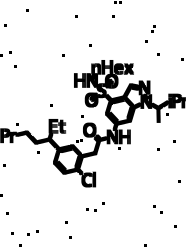 CCCCCCNS(=O)(=O)c1cc(NC(=O)Cc2cc(C(CC)CCC(C)C)ccc2Cl)cc2c1cnn2C(C)C(C)C